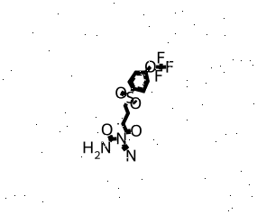 N#CN(C(N)=O)C(=O)[CH]CCS(=O)(=O)c1ccc(OC(F)(F)F)cc1